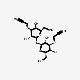 C#CCO[C@H]1[C@@H](O)[C@@H](CO)O[C@@H](S[C@@H]2O[C@H](CO)[C@H](O)[C@H](OCC#C)[C@H]2O)[C@@H]1O